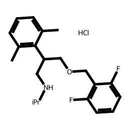 Cc1cccc(C)c1C(CNC(C)C)COCc1c(F)cccc1F.Cl